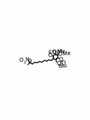 COc1c(OC(=O)OC(C)(C)C)c(C)c(CCCCCCCCCC(C)O[N+](=O)[O-])c(OC(=O)O)c1OC